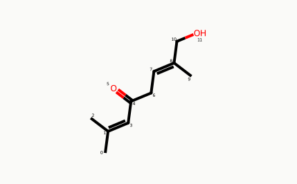 CC(C)=CC(=O)C/C=C(\C)CO